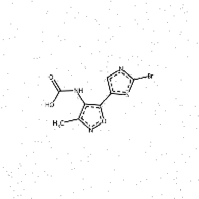 Cc1noc(-c2cnc(Br)s2)c1NC(=O)O